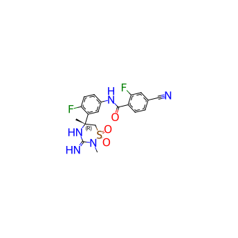 CN1C(=N)N[C@](C)(c2cc(NC(=O)c3ccc(C#N)cc3F)ccc2F)CS1(=O)=O